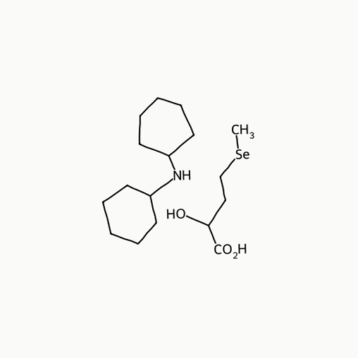 C1CCC(NC2CCCCC2)CC1.C[Se]CCC(O)C(=O)O